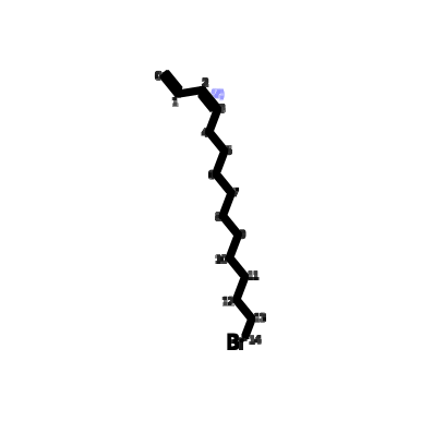 C=C/C=C\CCCCCCCCCCBr